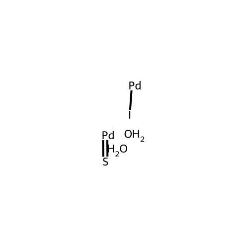 O.O.[Pd][I].[S]=[Pd]